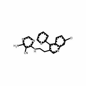 N#Cc1c(N)ncnc1NCCc1cnc2cc(Cl)ccc2c1-c1ccccn1